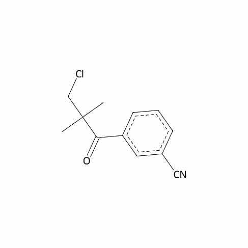 CC(C)(CCl)C(=O)c1cccc(C#N)c1